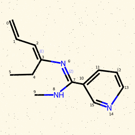 C=C/C=C(CC)/N=C(\NC)c1cccnc1